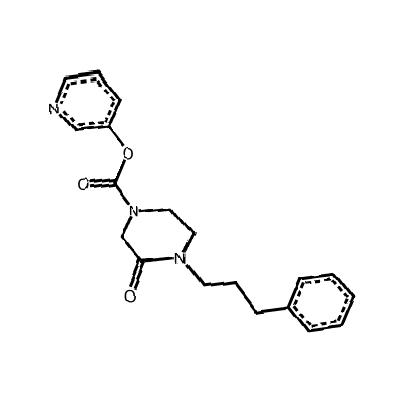 O=C1CN(C(=O)Oc2cccnc2)CCN1CCCc1ccccc1